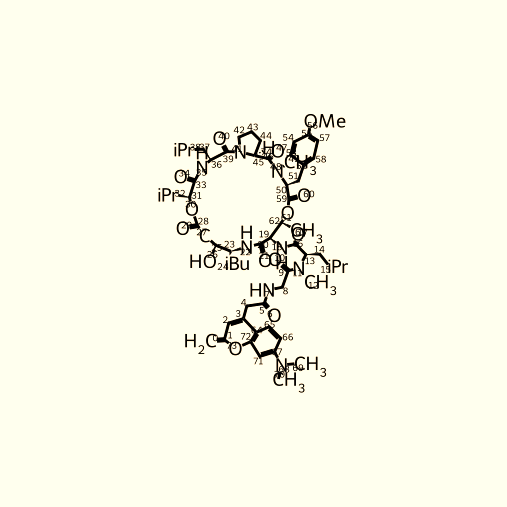 C=C1C=C(CC(=O)NCC(=O)N(C)[C@H](CC(C)C)C(=O)N[C@H]2C(=O)N[C@@H]([C@@H](C)CC)[C@@H](O)CC(=O)O[C@@H](C(C)C)C(=O)N[C@@H](CC(C)C)C(=O)N3CCC[C@H]3C(=O)N(C)[C@@H](Cc3ccc(OC)cc3)C(=O)O[C@H]2C)c2ccc(N(C)C)cc2O1